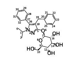 CC(C)n1nc(O[C@@H]2O[C@H](CO)[C@@H](O)[C@H](O)[C@H]2O)c(Cc2ccccc2)c1-c1ccccc1